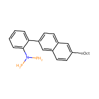 CCCCCCCCc1ccc2cc(-c3ccccc3N(P)P)ccc2c1